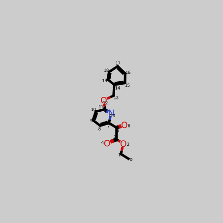 CCOC(=O)C(=O)c1cccc(OCc2ccccc2)n1